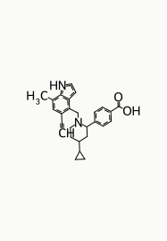 C#Cc1cc(C)c2[nH]ccc2c1CN1CCC(C2CC2)CC1c1ccc(C(=O)O)cc1